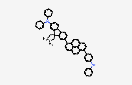 CCC1(CC)c2cc(-c3ccc4ccc5c(-c6ccc(Nc7ccccc7)cc6)ccc6ccc3c4c65)ccc2-c2ccc(N(c3ccccc3)c3ccccc3)cc21